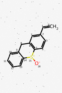 C=Cc1ccc2c(c1)Cc1ccccc1[S+]2[O-]